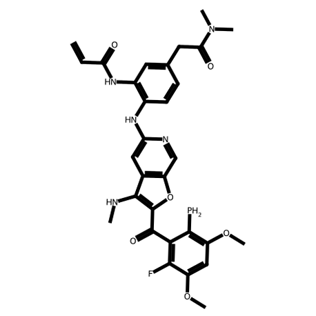 C=CC(=O)Nc1cc(CC(=O)N(C)C)ccc1Nc1cc2c(NC)c(C(=O)c3c(F)c(OC)cc(OC)c3P)oc2cn1